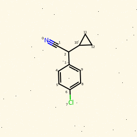 N#CC(c1ccc(Cl)cc1)C1CC1